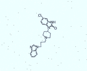 O=c1[nH]c2cc(Cl)ccc2n1C1CCN(CCCn2cnc3ccccc32)CC1